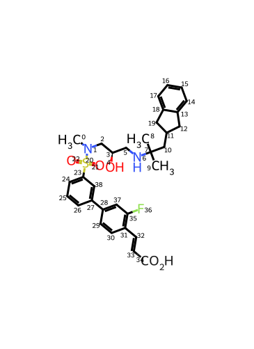 CN(C[C@H](O)CNC(C)(C)CC1Cc2ccccc2C1)S(=O)(=O)c1cccc(-c2ccc(/C=C/C(=O)O)c(F)c2)c1